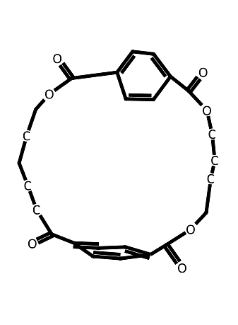 O=C1CCCCCOC(=O)c2ccc(cc2)C(=O)OCCCCOC(=O)c2ccc1cc2